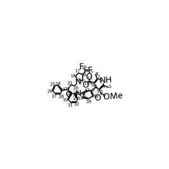 COC(=O)C1=C(C)NC(C)=C(C(=O)O[C@@]2(C(F)F)CCN(CCC(c3ccccc3)c3ccccc3)C2)C1c1cccc([N+](=O)[O-])c1